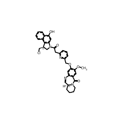 COc1cc2c(cc1OCc1cccc(CC(=O)N3C[C@@H](CCl)c4c3cc(O)c3ccccc43)n1)N=C[C@@H]1CCCCN1C2=O